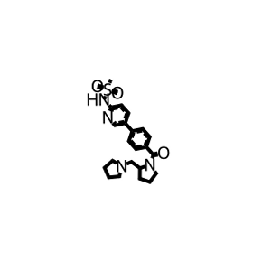 CS(=O)(=O)Nc1ccc(-c2ccc(C(=O)N3CCCC3CN3CCCC3)cc2)cn1